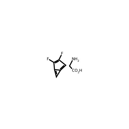 Fc1cc2cc-2c1F.NCC(=O)O